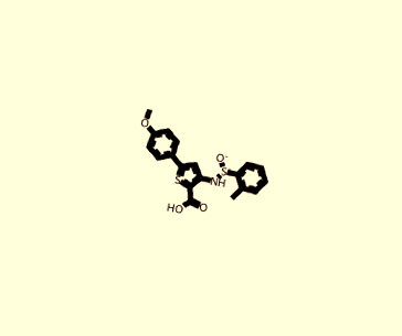 COc1ccc(-c2cc(N[S+]([O-])c3ccccc3C)c(C(=O)O)s2)cc1